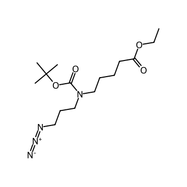 CCOC(=O)CCCCN(CCCN=[N+]=[N-])C(=O)OC(C)(C)C